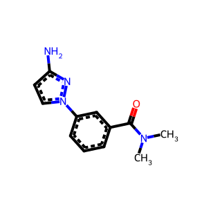 CN(C)C(=O)c1cccc(-n2ccc(N)n2)c1